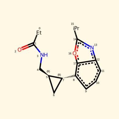 CCC(=O)NC[C@@H]1C[C@H]1c1cccc2nc(C(C)C)oc12